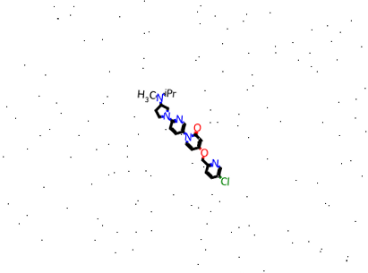 CC(C)N(C)C1CCN(c2ccc(-n3ccc(OCc4ccc(Cl)cn4)cc3=O)cn2)C1